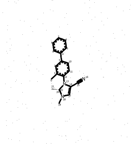 Cc1cc(-c2ccccc2)ccc1N1C(C#N)=CN(C)[C@@H]1C